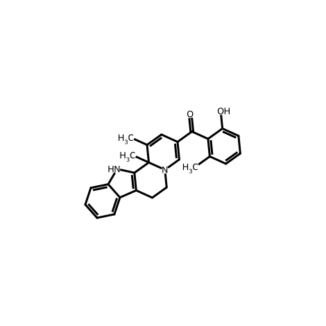 CC1=CC(C(=O)c2c(C)cccc2O)=CN2CCc3c([nH]c4ccccc34)C12C